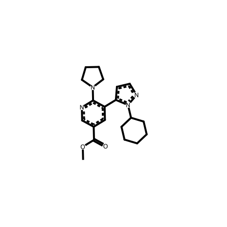 COC(=O)c1cnc(N2CCCC2)c(-c2ccnn2C2CCCCC2)c1